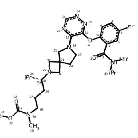 CCN(C(=O)c1cc(F)ccc1Oc1nncnc1N1CCC2(C1)CN([C@H](CCCN(C)C(=O)OC(C)(C)C)C(C)C)C2)C(C)C